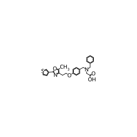 Cc1oc(-c2ccsc2)nc1CCOc1ccc(CN(CC(=O)O)Cc2ccccc2)cc1